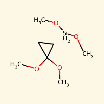 COC1(OC)CC1.CO[SiH2]OC